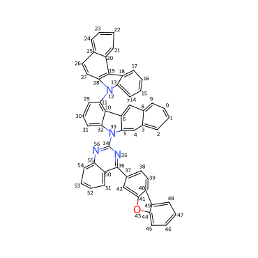 c1ccc2cc3c(cc2c1)c1c(-n2c4ccccc4c4c5ccccc5ccc42)cccc1n3-c1nc(-c2ccc3c(c2)oc2ccccc23)c2ccccc2n1